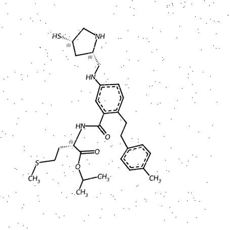 CSCC[C@H](NC(=O)c1cc(NC[C@@H]2C[C@H](S)CN2)ccc1CCc1ccc(C)cc1)C(=O)OC(C)C